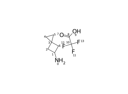 NC1CC2(CC2)C1.O=C(O)C(F)(F)F